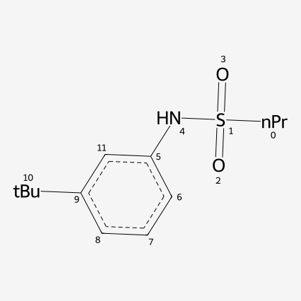 CCCS(=O)(=O)Nc1cccc(C(C)(C)C)c1